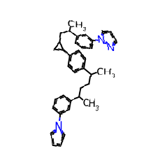 CC(CCC(C)c1cccc(-n2cccc2)c1)c1ccc(C2CC2CC(C)c2cccc(-n3cccn3)c2)cc1